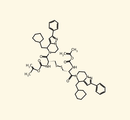 C=C(C)OC(=O)N[C@@H](CSSC[C@H](NC(=O)OC(=C)C)C(=O)N1CCn2nc(-c3ccccc3)cc2C1CC1CCCCC1)C(=O)N1CCn2nc(-c3ccccc3)cc2C1CC1CCCCC1